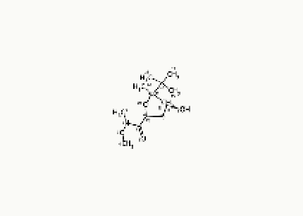 CON(C)C(=O)[C@H](CCO)O[Si](C)(C)C(C)(C)C